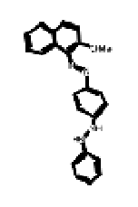 COc1ccc2ccccc2c1/N=N/c1ccc(NNc2ccccc2)cc1